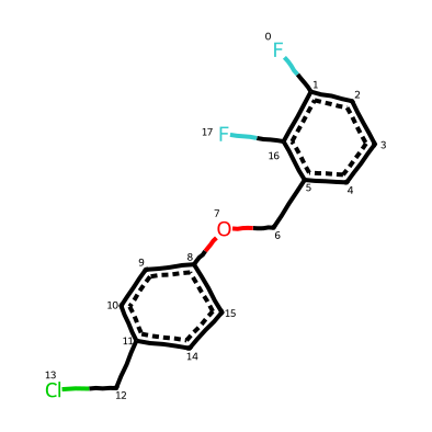 Fc1cccc(COc2ccc(CCl)cc2)c1F